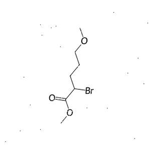 COCCCC(Br)C(=O)OC